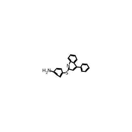 Nc1ccc(Sc2cc(-c3ccccc3)c3ccccc3n2)cc1